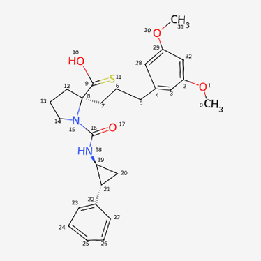 COc1cc(CCC[C@@]2(C(O)=S)CCCN2C(=O)N[C@H]2C[C@@H]2c2ccccc2)cc(OC)c1